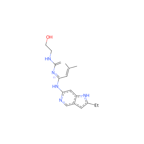 C=C(/N=C(\C=C(C)C)Nc1cc2[nH]c(CC)cc2cn1)NCCO